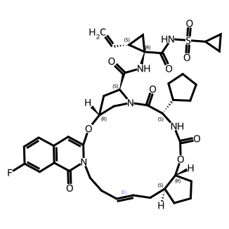 C=C[C@@H]1C[C@]1(NC(=O)[C@@H]1C[C@@H]2CN1C(=O)[C@H](C1CCCC1)NC(=O)O[C@@H]1CCC[C@H]1C/C=C/CCn1c(cc3ccc(F)cc3c1=O)O2)C(=O)NS(=O)(=O)C1CC1